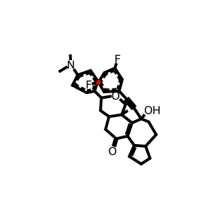 CN(C)c1ccc(C2CC3CC(=O)C4=C(C(O)(C#Cc5cc(F)cc(F)c5)CCC5CCC=C45)C3(C)CO2)cc1